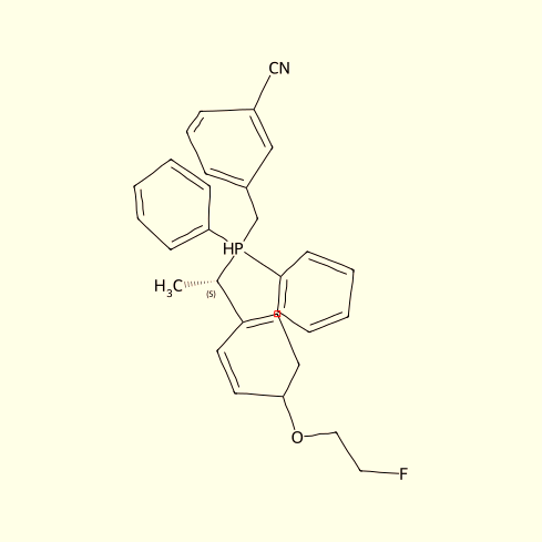 C[C@@H](C1=CCC(OCCF)C=C1)[PH](Cc1cccc(C#N)c1)(c1ccccc1)c1ccccc1